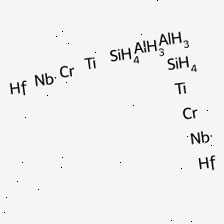 [AlH3].[AlH3].[Cr].[Cr].[Hf].[Hf].[Nb].[Nb].[SiH4].[SiH4].[Ti].[Ti]